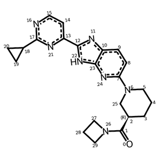 O=C([C@@H]1CCCN(c2ccc3nc(-c4ccnc(C5CC5)n4)[nH]c3n2)C1)N1CCC1